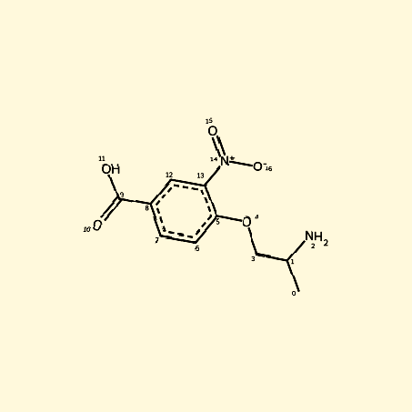 CC(N)COc1ccc(C(=O)O)cc1[N+](=O)[O-]